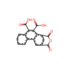 O=C1OC(=O)c2cc1cc1c2c(C(=O)O)c(C(=O)O)c2ccccc21